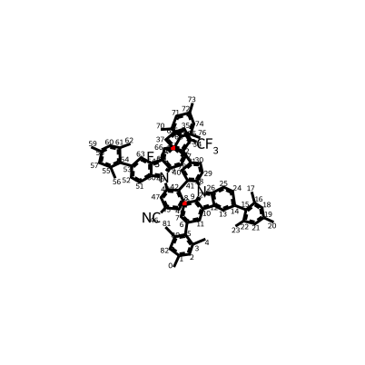 Cc1cc(C)c(-c2ccc3c(c2)c2cc(-c4c(C)cc(C)cc4C)ccc2n3-c2ccc(-c3c(C(F)(F)F)cccc3C(F)(F)F)cc2-c2ccc(C#N)cc2-n2c3ccc(-c4c(C)cc(C)cc4C)cc3c3cc(-c4c(C)cc(C)cc4C)ccc32)c(C)c1